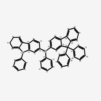 C1=c2c(n(-c3ccccc3)c3cc(N(c4ccccc4)c4ccc5c(c4)C(c4ccccc4)(c4ccccc4)c4ccccc4-5)ccc23)=CCC1